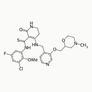 COc1c(Cl)cc(F)cc1NC(=S)C1=C(NCc2ccncc2OCC2CN(C)CCO2)CCNC1=O